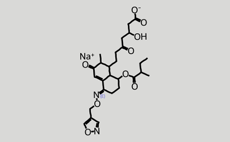 CCC(C)C(=O)OC1CC/C(=N\OCc2cnoc2)C2=CC(=O)C(C)C(CCC(=O)CC(O)CC(=O)[O-])C21.[Na+]